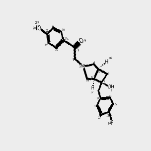 O=C(CN1C[C@H]2C[C@](O)(Cc3ccc(F)cc3)[C@H]2C1)c1ccc(O)cc1